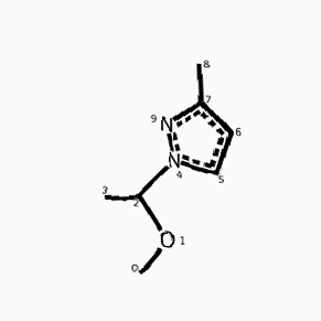 COC(C)n1ccc(C)n1